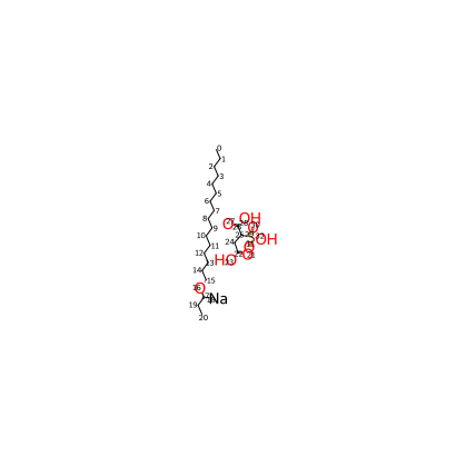 CCCCCCCCCCCCCCCCO[CH]([Na])CC.O=C(O)CC(C(=O)O)S(=O)(=O)O